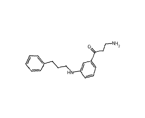 NCCC(=O)c1cccc(NCCCc2ccccc2)c1